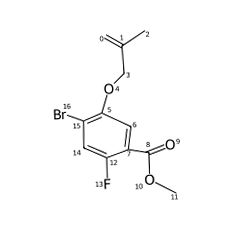 C=C(C)COc1cc(C(=O)OC)c(F)cc1Br